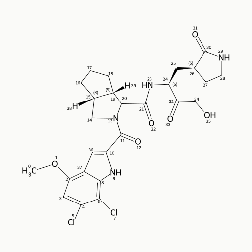 COc1cc(Cl)c(Cl)c2[nH]c(C(=O)N3C[C@@H]4CCC[C@@H]4C3C(=O)N[C@@H](C[C@@H]3CCNC3=O)C(=O)CO)cc12